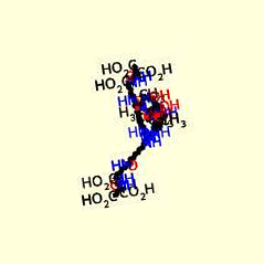 CCN(C)C/C(O)=C\C1(/C=C(/O)CNC(C)Cc2ccc(Nc3nc(NCCCCCCCCC(=O)NCCCC[C@H](NC(=O)N[C@@H](CCC(=O)O)C(=O)O)C(=O)O)nc(NCCCCCCCC(=O)NCCCC[C@H](NC(=O)N[C@@H](CCC(=O)O)C(=O)O)C(=O)O)n3)cc2)/C=C(/O)CN(C)CCN(C)C/C(O)=C\1